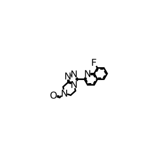 O=CN1CCn2c(nnc2-c2ccc3cccc(F)c3n2)C1